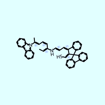 C\C=C(/C=C\C=C(/C)n1c2ccccc2c2ccccc21)N/C=C/C=C1\C(=C/S)C2(c3ccccc31)c1ccccc1-c1ccccc12